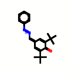 CC(C)(C)C1=CC(=C/N=N/c2ccccc2)C=C(C(C)(C)C)C1=O